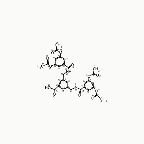 CC(=O)Oc1cc(OC(C)=O)cc(C(=O)NCc2cc(CNC(=O)c3cc(OC(C)=O)cc(OC(C)=O)c3)cc(C(=O)O)c2)c1